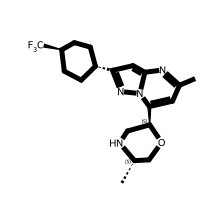 Cc1cc([C@@H]2CN[C@@H](C)CO2)n2nc([C@H]3CC[C@H](C(F)(F)F)CC3)cc2n1